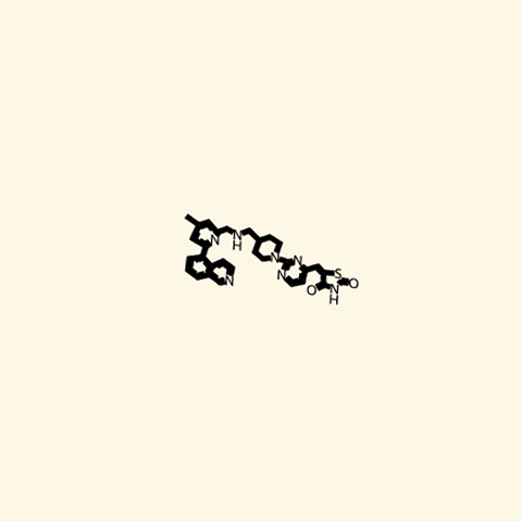 Cc1cc(CNCC2CCN(c3nccc(/C=C4/SC(=O)NC4=O)n3)CC2)nc(-c2cccc3cnccc23)c1